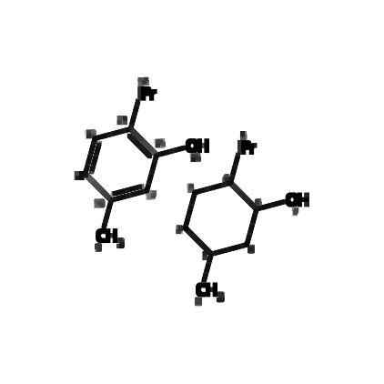 CC1CCC(C(C)C)C(O)C1.Cc1ccc(C(C)C)c(O)c1